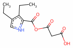 CCc1c[nH]c(C(=O)OC(=O)CC(=O)O)c1CC